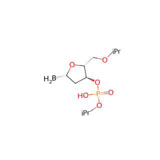 B[C@H]1C[C@H](OP(=O)(O)OC(C)C)[C@@H](COC(C)C)O1